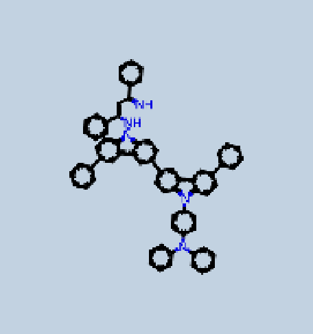 N=C(/C=C(\Nn1c2ccc(-c3ccccc3)cc2c2cc(-c3ccc4c(c3)c3cc(-c5ccccc5)ccc3n4-c3ccc(N(c4ccccc4)c4ccccc4)cc3)ccc21)c1ccccc1)c1ccccc1